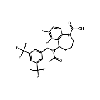 CC(=O)N(Cc1cc(C(F)(F)F)cc(C(F)(F)F)c1)C1CCCN(C(=O)O)c2ccc(C)c(F)c21